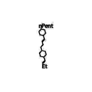 CCC=CC1CCC(CC/C=C/C2CCC(CCCCC)CC2)CC1